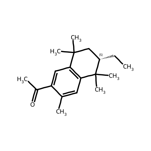 CC[C@H]1CC(C)(C)c2cc(C(C)=O)c(C)cc2C1(C)C